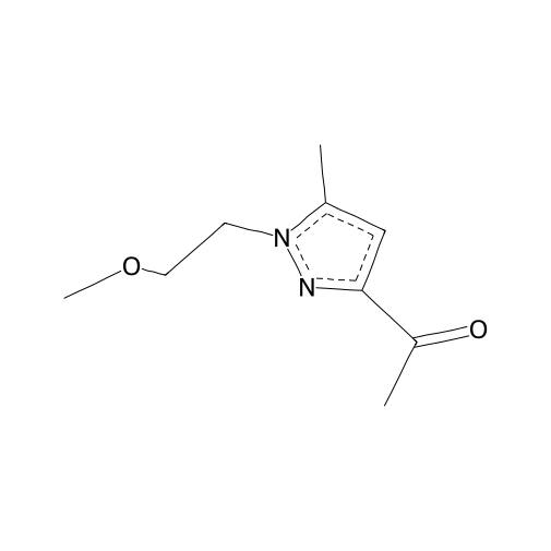 COCCn1nc(C(C)=O)cc1C